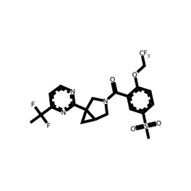 CC(F)(F)c1ccnc(C23CC2CN(C(=O)c2cc(S(C)(=O)=O)ccc2OCC(F)(F)F)C3)n1